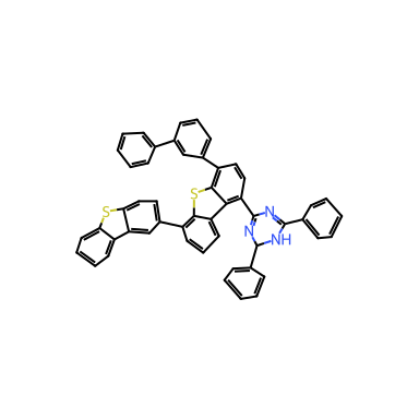 c1ccc(C2=NC(c3ccc(-c4cccc(-c5ccccc5)c4)c4sc5c(-c6ccc7sc8ccccc8c7c6)cccc5c34)=NC(c3ccccc3)N2)cc1